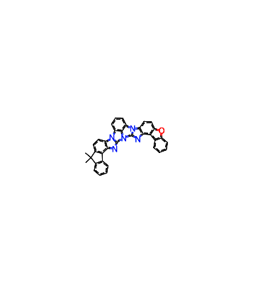 CC1(C)c2ccccc2-c2c1ccc1c2nc2n1c1cccc3c1n2c1nc2c4c(ccc2n31)oc1ccccc14